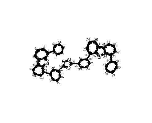 c1ccc(-c2cccc3c2sc2c(-c4cccc(-c5nnc(-c6cccc(-c7cccc8c7sc7c(-c9ccccc9)cccc78)c6)o5)c4)cccc23)cc1